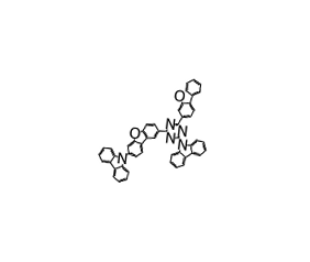 c1ccc2c(c1)oc1cc(-c3nc(-c4ccc5oc6cc(-n7c8ccccc8c8ccccc87)ccc6c5c4)nc(-n4c5ccccc5c5ccccc54)n3)ccc12